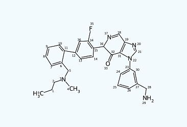 CCCN(C)Cc1ccccc1-c1ccc(C2N=Cc3ncn(-c4cccc(CN)c4)c3C2=O)c(F)c1